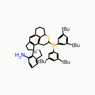 CC(C)(C)c1cc(P(c2cc(C(C)(C)C)cc(C(C)(C)C)c2)C(Cc2cccc3c2[C@]2(CCc4cccc(N)c42)CC3)SC2CCCCC2)cc(C(C)(C)C)c1